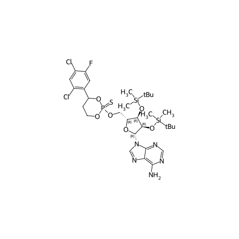 CC(C)(C)[Si](C)(C)O[C@@H]1[C@H](O[Si](C)(C)C(C)(C)C)[C@@H](COP2(=S)OCCC(c3cc(F)c(Cl)cc3Cl)O2)O[C@H]1n1cnc2c(N)ncnc21